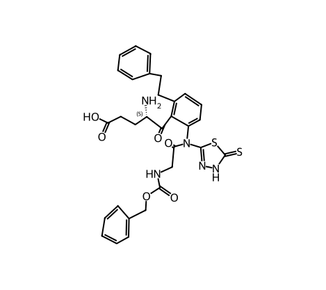 N[C@@H](CCC(=O)O)C(=O)c1c(CCc2ccccc2)cccc1N(C(=O)CNC(=O)OCc1ccccc1)c1n[nH]c(=S)s1